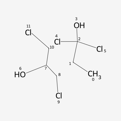 CCC(O)(Cl)Cl.OC(CCl)CCl